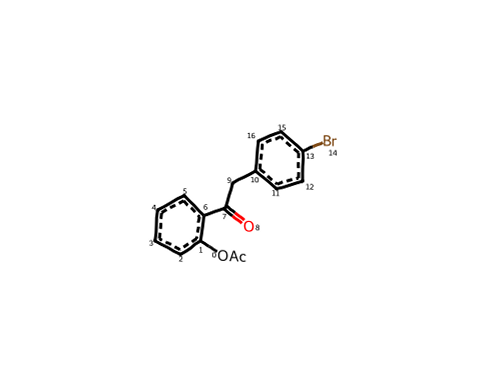 CC(=O)Oc1ccccc1C(=O)Cc1ccc(Br)cc1